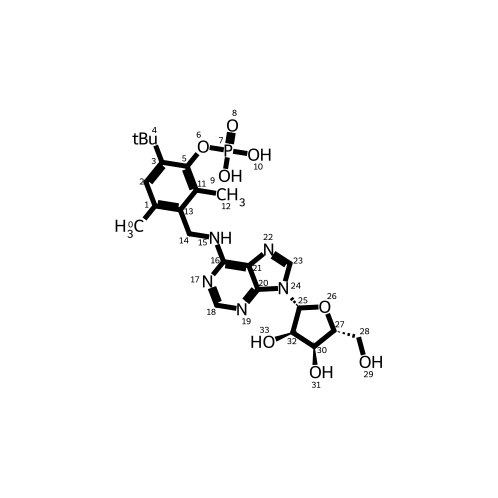 Cc1cc(C(C)(C)C)c(OP(=O)(O)O)c(C)c1CNc1ncnc2c1ncn2[C@@H]1O[C@H](CO)[C@@H](O)[C@H]1O